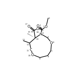 COC(=O)N1COCCCOCC(C)[C@@]1(C)C(=O)O